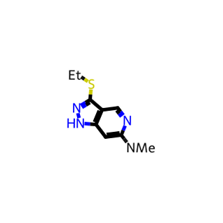 CCSc1n[nH]c2cc(NC)ncc12